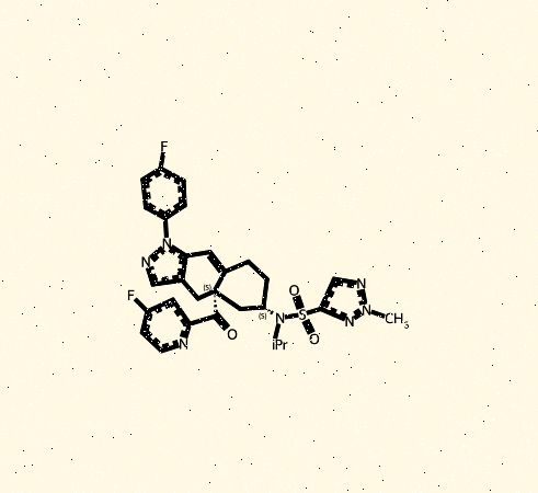 CC(C)N([C@H]1CCC2=Cc3c(cnn3-c3ccc(F)cc3)C[C@]2(C(=O)c2cc(F)ccn2)C1)S(=O)(=O)c1cnn(C)n1